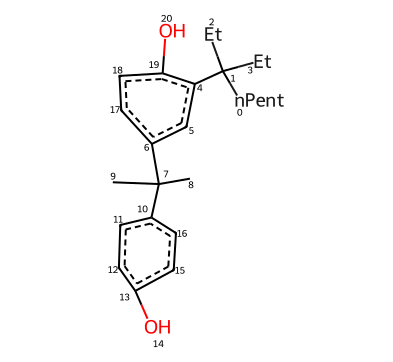 CCCCCC(CC)(CC)c1cc(C(C)(C)c2ccc(O)cc2)ccc1O